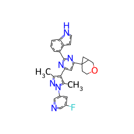 Cc1nn(-c2cncc(F)c2)c(C)c1-c1cc(C23CCOCC2C3)nc(-c2cccc3[nH]ccc23)n1